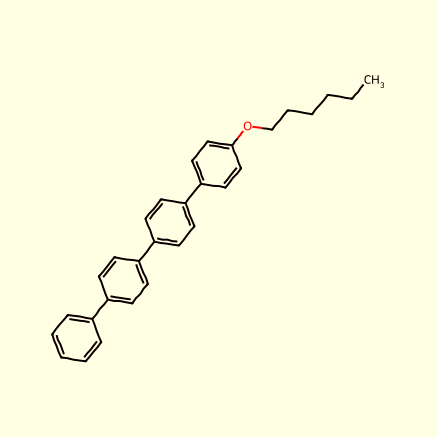 CCCCCCOc1ccc(-c2ccc(-c3ccc(-c4ccccc4)cc3)cc2)cc1